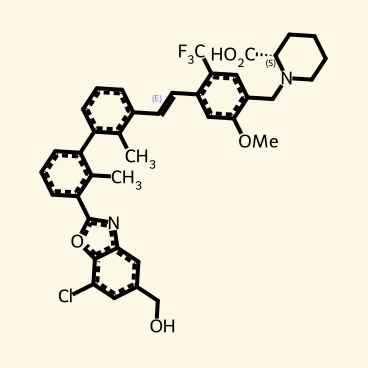 COc1cc(/C=C/c2cccc(-c3cccc(-c4nc5cc(CO)cc(Cl)c5o4)c3C)c2C)c(C(F)(F)F)cc1CN1CCCC[C@H]1C(=O)O